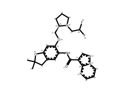 CC1(C)Cc2cc(NC(=O)c3cnn4cccnc34)c(OC[C@H]3CCCN3CC(F)F)cc2O1